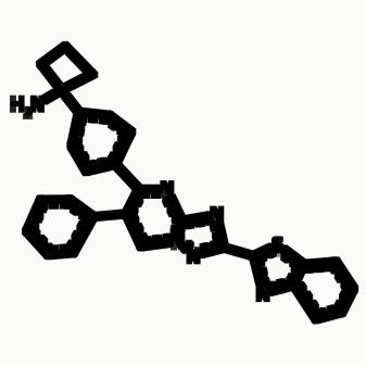 NC1(c2ccc(-c3nc4nc(-c5nc6ccccc6s5)nn4cc3-c3ccccc3)cc2)CCC1